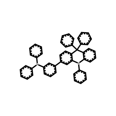 c1ccc(N(c2ccccc2)c2cccc(-c3ccc4c(c3)N(c3ccccc3)c3ccccc3C4(c3ccccc3)c3ccccc3)c2)cc1